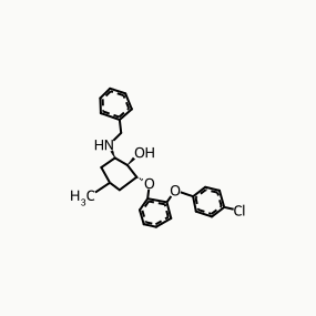 CC1C[C@@H](NCc2ccccc2)[C@@H](O)[C@H](Oc2ccccc2Oc2ccc(Cl)cc2)C1